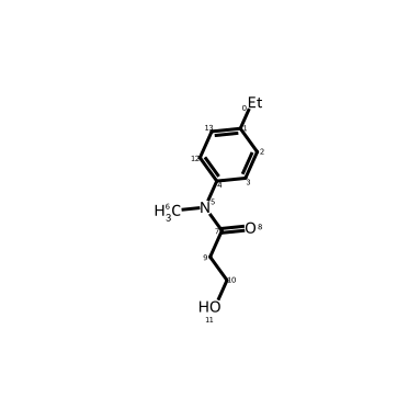 CCc1ccc(N(C)C(=O)CCO)cc1